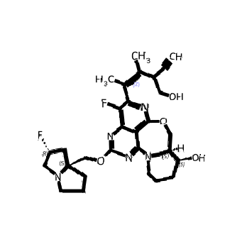 C#CC(CO)/C(C)=C(/C)c1nc2c3c(nc(OC[C@@]45CCCN4C[C@H](F)C5)nc3c1F)N1CCC[C@H](O)[C@@H]1CO2